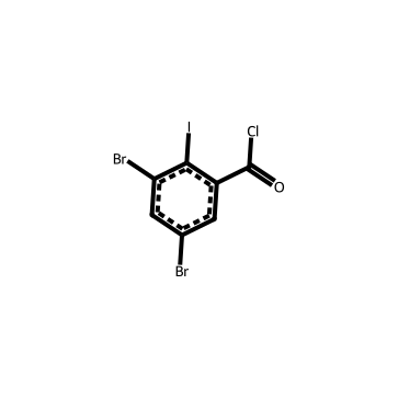 O=C(Cl)c1cc(Br)cc(Br)c1I